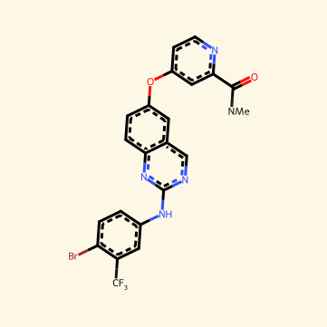 CNC(=O)c1cc(Oc2ccc3nc(Nc4ccc(Br)c(C(F)(F)F)c4)ncc3c2)ccn1